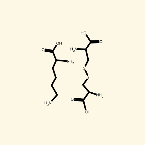 NC(CSSCC(N)C(=O)O)C(=O)O.NCCCCC(N)C(=O)O